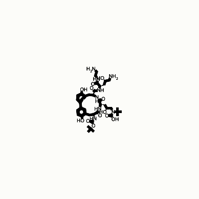 CC(C)(C)OC(=O)N[C@H]1Cc2cc(ccc2O)-c2ccc(O)c(c2)C[C@@H](C(=O)N[C@@H](C[C@@H](O)CN)C(=O)NCCN)NC(=O)[C@H](C[C@@H](O)CN(C(=O)O)C(C)(C)C)NC1=O